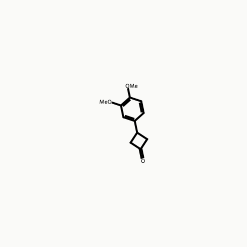 COc1ccc(C2CC(=O)C2)cc1OC